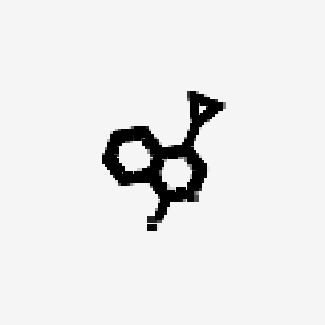 Clc1ncc(C2CC2)c2ccccc12